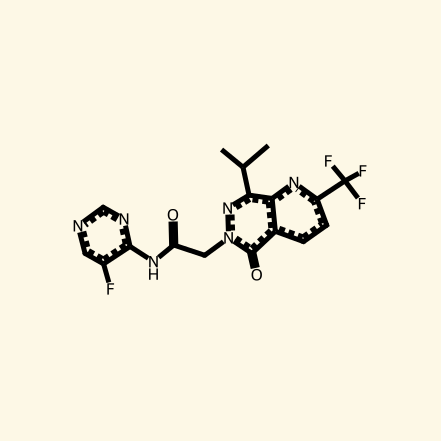 CC(C)c1nn(CC(=O)Nc2ncncc2F)c(=O)c2ccc(C(F)(F)F)nc12